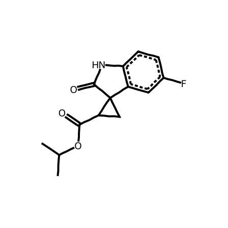 CC(C)OC(=O)C1CC12C(=O)Nc1ccc(F)cc12